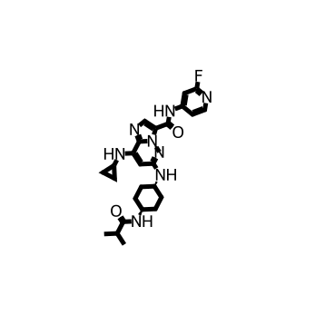 CC(C)C(=O)N[C@H]1CC[C@H](Nc2cc(NC3CC3)c3ncc(C(=O)Nc4ccnc(F)c4)n3n2)CC1